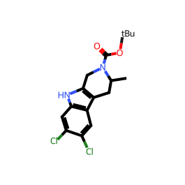 CC1Cc2c([nH]c3cc(Cl)c(Cl)cc23)CN1C(=O)OC(C)(C)C